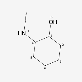 OC1CCCCC1NI